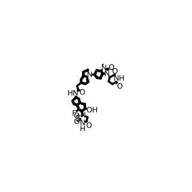 Cn1c(=O)n(C2CCC(=O)NC2=O)c2ccc(-n3ccc4cc(CC(=O)Nc5ccc6c(F)c(N7CC(=O)NS7(=O)=O)c(O)cc6c5)ccc43)cc21